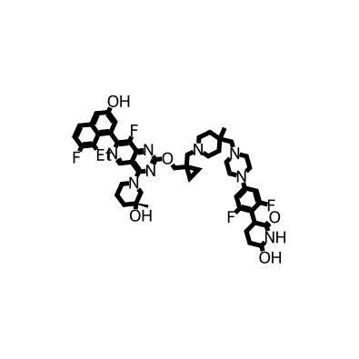 CCc1c(F)ccc2cc(O)cc(-c3ncc4c(N5CCC[C@@](C)(O)C5)nc(OCC5(CN6CCC(C)(CN7CCN(c8cc(F)c(C9CCC(O)NC9=O)c(F)c8)CC7)CC6)CC5)nc4c3F)c12